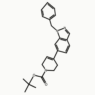 CC(C)(C)OC(=O)N1CC=C(c2ccc3cnn(Cc4ccccc4)c3c2)CC1